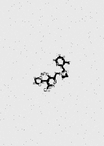 CCCc1c(Cn2ccnc2-c2ncccc2F)nnc(Cl)c1C1OCCO1